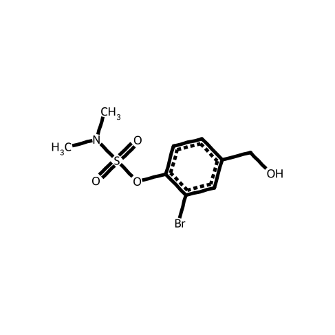 CN(C)S(=O)(=O)Oc1ccc(CO)cc1Br